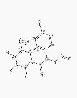 C=CCOC(=O)C1=C(C)N(C)C(C)=C(C(=O)O)C1c1cccc(F)c1